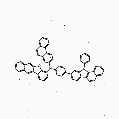 c1ccc(-n2c3cc(-c4ccc(N(c5ccc6c(ccc7ccccc76)c5)c5cccc6c5oc5cc7ccccc7cc56)cc4)ccc3c3ccc4ccccc4c32)cc1